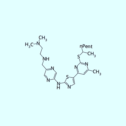 CCCCCC(C)Sc1nc(C)cc(-c2cnc(Nc3cnc(CNCCN(C)C)cn3)s2)n1